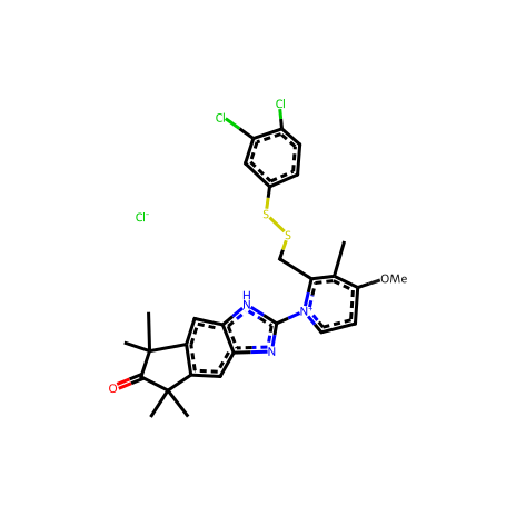 COc1cc[n+](-c2nc3cc4c(cc3[nH]2)C(C)(C)C(=O)C4(C)C)c(CSSc2ccc(Cl)c(Cl)c2)c1C.[Cl-]